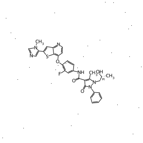 Cc1c(C(=O)Nc2ccc(Oc3ccnc4cc(-c5cncn5C)sc34)c(F)c2)c(=O)n(-c2ccccc2)n1C[C@@H](C)O